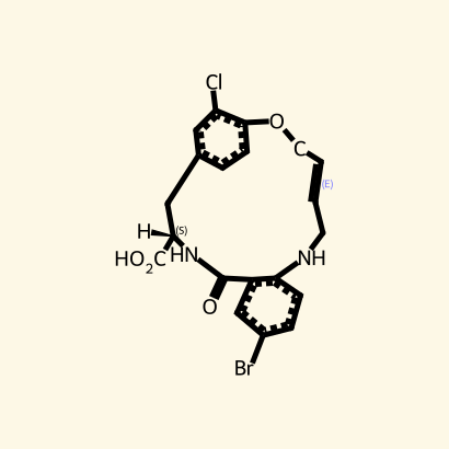 O=C1N[C@H](C(=O)O)Cc2ccc(c(Cl)c2)OC/C=C/CNc2ccc(Br)cc21